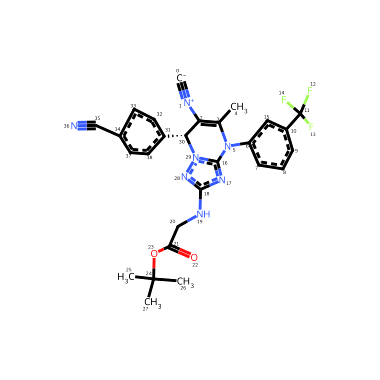 [C-]#[N+]C1=C(C)N(c2cccc(C(F)(F)F)c2)c2nc(NCC(=O)OC(C)(C)C)nn2[C@@H]1c1ccc(C#N)cc1